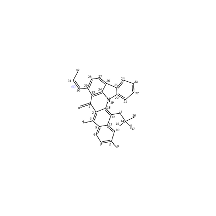 C=c1c2c(C)c3ccc(C)cc3c(CC(C)(C)I)c2n2c3ccccc3c3ccc(/C=C\C)c1c32